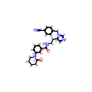 N#Cc1ccc(Cn2cncc2CCNC(=O)c2cccc(N3CCCCC3=O)c2)cc1